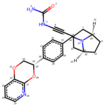 NC(=O)NC#CC1C[C@H]2CC[C@@H](C1)N2Cc1ccc([C@H]2COc3cccnc3O2)cc1